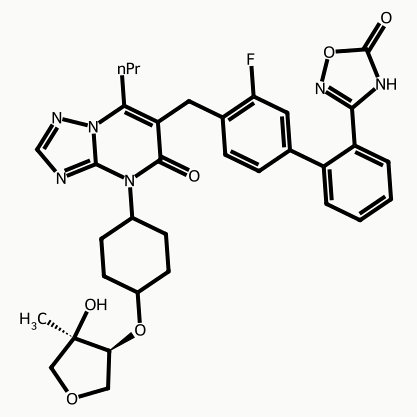 CCCc1c(Cc2ccc(-c3ccccc3-c3noc(=O)[nH]3)cc2F)c(=O)n(C2CCC(O[C@H]3COC[C@@]3(C)O)CC2)c2ncnn12